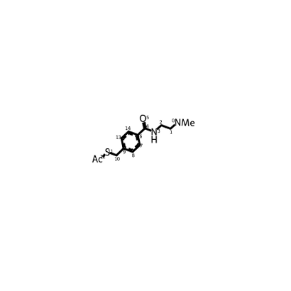 CNCCNC(=O)c1ccc(CSC(C)=O)cc1